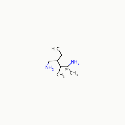 CCC(CN)C(C)[C@@H](C)N